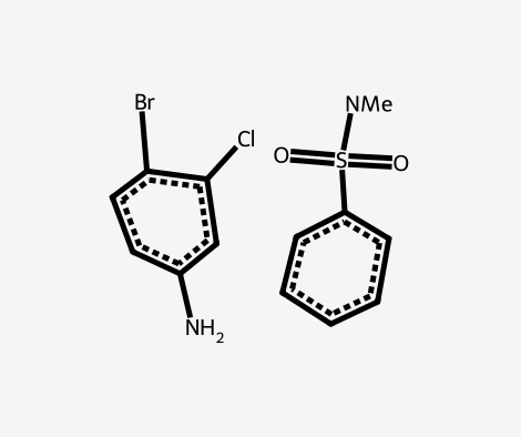 CNS(=O)(=O)c1ccccc1.Nc1ccc(Br)c(Cl)c1